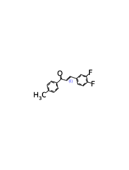 Cc1ccc(C(=O)/C=C/c2ccc(F)c(F)c2)cc1